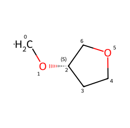 [CH2]O[C@H]1CCOC1